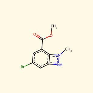 COC(=O)c1cc(Br)cc2[nH]n(C)c12